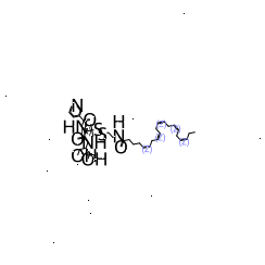 CC/C=C\C/C=C\C/C=C\C/C=C\C/C=C\CCCC(=O)NCCSSC(C)(C)[C@H](NC(=O)c1cccnc1)C(=O)NC(CO)CO